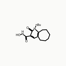 CCCCn1c2c(cc(C(=O)NO)c1=O)CCCCCC2